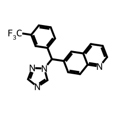 FC(F)(F)c1cccc(C(c2ccc3ncccc3c2)n2cncn2)c1